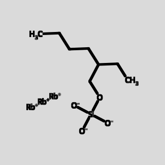 CCCCC(CC)CO[Si]([O-])([O-])[O-].[Rb+].[Rb+].[Rb+]